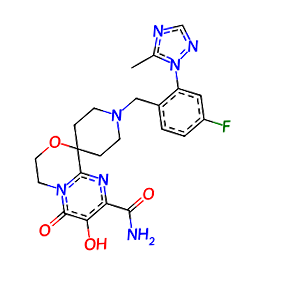 Cc1ncnn1-c1cc(F)ccc1CN1CCC2(CC1)OCCn1c2nc(C(N)=O)c(O)c1=O